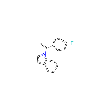 C=C(c1ccc(F)cc1)n1ccc2ccccc21